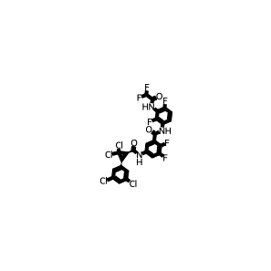 O=C(Nc1ccc(F)c(NC(=O)C(F)F)c1F)c1cc(NC(=O)[C@H]2[C@H](c3cc(Cl)cc(Cl)c3)C2(Cl)Cl)cc(F)c1F